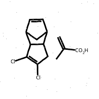 C=C(C)C(=O)O.ClC1=C(Cl)C2C3C=CC(C3)C2C1